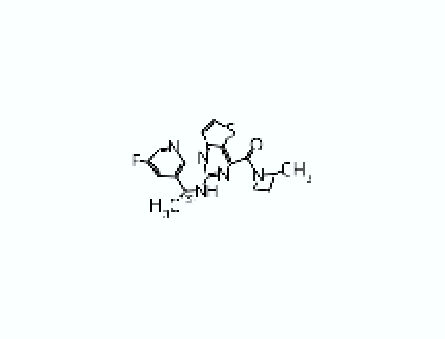 CC1CCN1C(=O)c1nc(N[C@@H](C)c2cncc(F)c2)nc2ccsc12